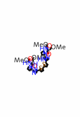 COCC[C@H](NC(=O)OC)C(=O)N1CCC[C@H]1c1ncc(-c2ccc(-c3ccc(-c4cnc([C@@H]5CCCN5C(=O)[C@H](CCOC)NC(=O)OC)[nH]4)s3)s2)[nH]1